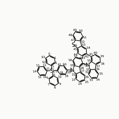 c1ccc([Si](c2ccccc2)(c2ccccc2)c2ccc(-n3c4ccccc4c4c(-n5c6ccccc6c6cccc(-c7ccc8sc9ccccc9c8c7)c65)cccc43)cc2)cc1